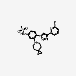 CS(=O)(=O)Nc1ccc(-n2cc(-c3cccc(F)n3)nn2)c(N2CCC3(CC2)CC3)c1